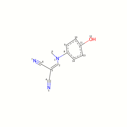 CN(C=C(C#N)C#N)c1ccc(O)cc1